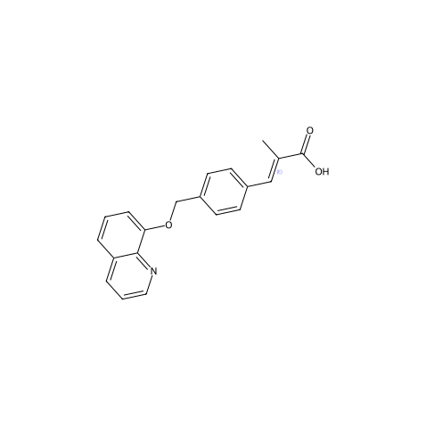 C/C(=C\c1ccc(COc2cccc3cccnc23)cc1)C(=O)O